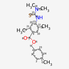 Cc1ccc(COC(=O)c2cc(C)c(NC(=S)N(C)C)cc2C)cc1